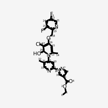 CCOC(=O)c1cnn(-c2cc(N3C(C)=CC(OCc4ncc(F)cc4F)=C(Cl)C3O)c(C)cn2)c1